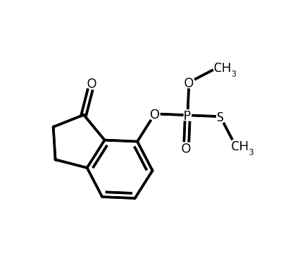 COP(=O)(Oc1cccc2c1C(=O)CC2)SC